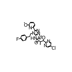 COc1cccc(-c2nnc(NS(=O)(=O)C(C)C(OC)c3ncc(Cl)cn3)n2CCc2ccc(F)cc2)n1